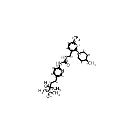 CC1CCN(c2nc(C(F)(F)F)ccc2CNC(=O)Nc2ccc(CCC(C)(C)[Si](C)(C)O)cn2)CC1